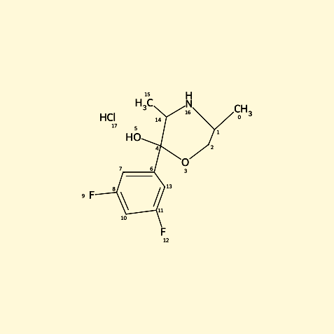 CC1COC(O)(c2cc(F)cc(F)c2)C(C)N1.Cl